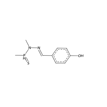 CN(N=Cc1ccc(O)cc1)[PH](C)=S